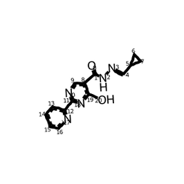 O=C(N/N=C/C1CC1)c1cnc(-c2ccccn2)nc1O